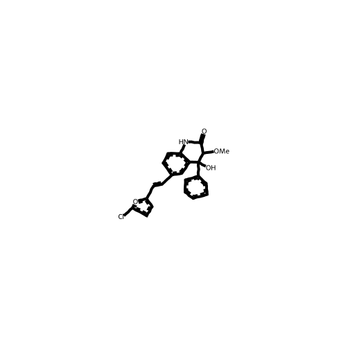 COC1C(=O)Nc2ccc(/C=C/c3ccc(Cl)o3)cc2C1(O)c1ccccc1